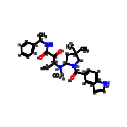 CCCC[C@@H](C(=O)C(=O)NC(C)c1ccccc1)N(C(=O)O)C1CC(C)(C)CN1C(=O)c1ccc2[nH]ccc2c1